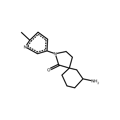 Cc1ccc(N2CCC3(CCCC(N)C3)C2=O)cn1